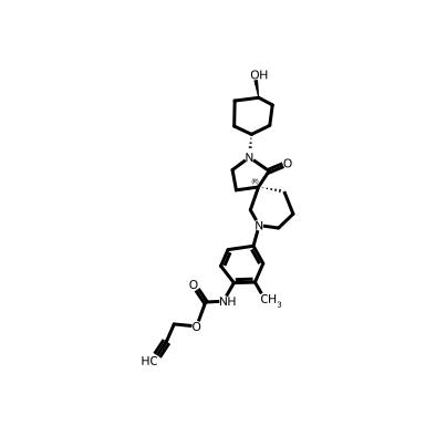 C#CCOC(=O)Nc1ccc(N2CCC[C@@]3(CCN([C@H]4CC[C@H](O)CC4)C3=O)C2)cc1C